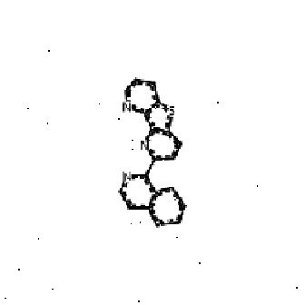 c1ccc2c(-c3ccc4sc5cccnc5c4n3)nccc2c1